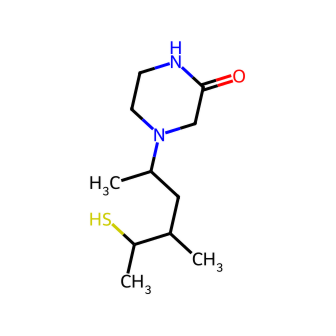 CC(S)C(C)CC(C)N1CCNC(=O)C1